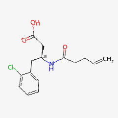 C=CCCC(=O)N[C@H](CC(=O)O)Cc1ccccc1Cl